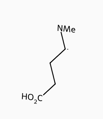 CN[CH]CCC(=O)O